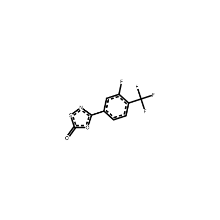 O=c1oc(-c2ccc(C(F)(F)F)c(F)c2)ns1